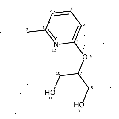 Cc1cccc(OC(CO)CO)n1